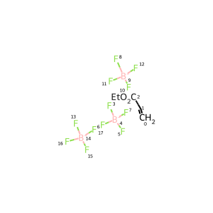 C=CC(=O)OCC.F[B-](F)(F)F.F[B-](F)(F)F.F[B-](F)(F)F